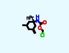 C=C1CC(C)CC(CCC)(NC(=O)OCCl)C1